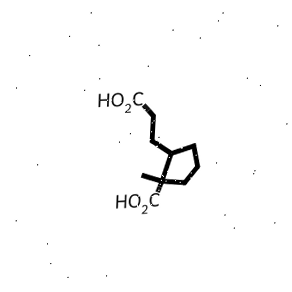 CC1(C(=O)O)CCCC1CCC(=O)O